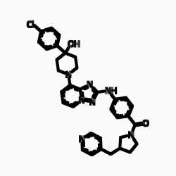 O=C(c1ccc(Nc2nc3c(N4CCC(O)(c5ccc(Cl)cc5)CC4)cccn3n2)cc1)N1CCC(Cc2ccncc2)C1